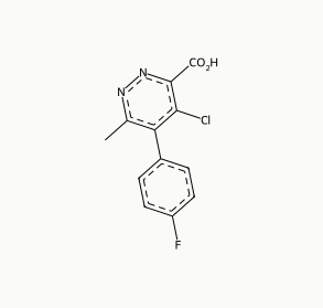 Cc1nnc(C(=O)O)c(Cl)c1-c1ccc(F)cc1